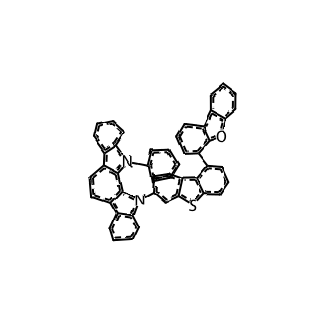 c1ccc(-n2c3ccccc3c3ccc4c5ccccc5n(-c5ccc6c(c5)sc5cccc(-c7cccc8c7oc7ccccc78)c56)c4c32)cc1